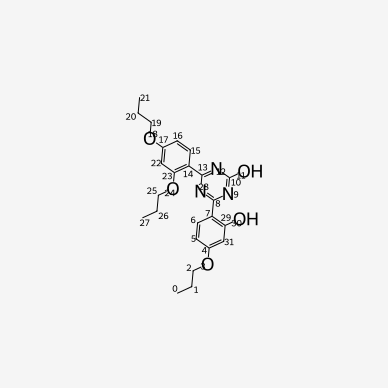 CCCOc1ccc(-c2nc(O)nc(-c3ccc(OCCC)cc3OCCC)n2)c(O)c1